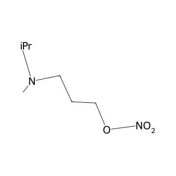 CC(C)N(C)CCCO[N+](=O)[O-]